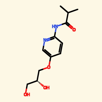 CC(C)C(=O)Nc1ccc(OC[C@H](O)CO)cn1